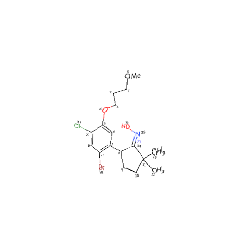 COCCCOc1cc(C2CCC(C)(C)/C2=N/O)c(Br)cc1Cl